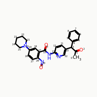 CC(=O)C(c1ccccc1)c1ccc(NC(=O)c2cc(N3CCCCC3)ccc2N=O)nc1